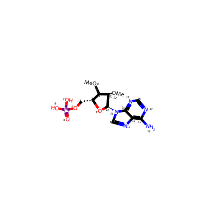 COC1[C@@H](COP(=O)(O)O)O[C@@H](n2cnc3c(N)ncnc32)[C@H]1OC